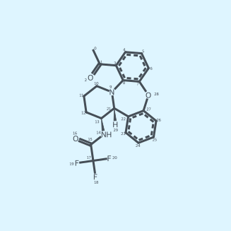 CC(=O)c1cccc2c1N1CCC[C@H](NC(=O)C(F)(F)F)[C@H]1c1ccccc1O2